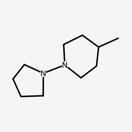 CC1CCN(N2CCCC2)CC1